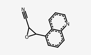 N#CC1OC1c1cccc2ncccc12